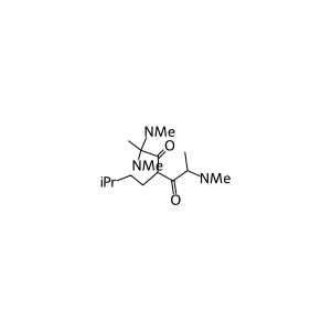 CNC(C)C(=O)C(CCC(C)C)C(=O)C(C)(NC)NC